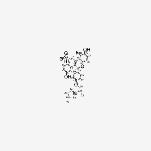 CC1=C(c2cc(O)ccc2C[SH](=O)=O)C(c2ccc(OC[C@H](C)N3CC[C@@H](C)C3)cc2)Oc2ccc(O)c(F)c21